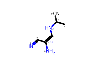 CC(C#N)N/C=C(/N)C=N